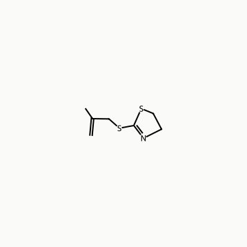 C=C(C)CSC1=NCCS1